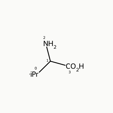 C[C](C)C(N)C(=O)O